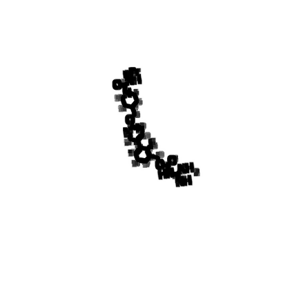 CCCNC(=O)N1CCC(COc2ncc(-c3cccc(COC(=O)NC(=N)N)c3F)cn2)CC1